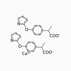 CC(C(=O)[O-])c1ccc(Oc2nccs2)cc1.CC(C(=O)[O-])c1ccc(Oc2nccs2)cc1.[Ca+2]